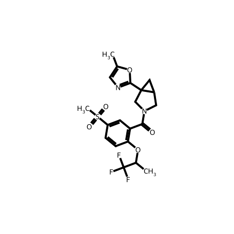 Cc1cnc(C23CC2CN(C(=O)c2cc(S(C)(=O)=O)ccc2OC(C)C(F)(F)F)C3)o1